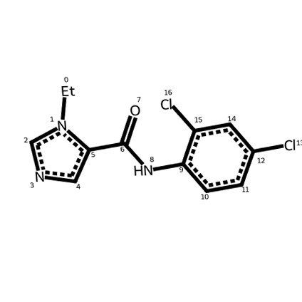 CCn1cncc1C(=O)Nc1ccc(Cl)cc1Cl